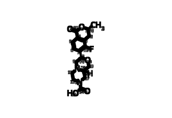 C[C@H]1Cc2c(ccc([C@@H]3CN4CCN(C(=O)O)C[C@H]4CO3)c2F)C(=O)O1